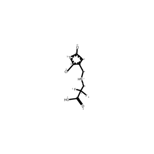 O=C(O)C(F)(F)CNCc1cc(Cl)sc1Cl